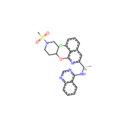 C[C@H](Nc1ncnc2ccccc12)c1cc2cccc(Cl)c2c(OC2CCN(S(C)(=O)=O)CC2)n1